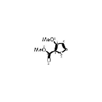 COC(=O)c1s[c]cc1OC